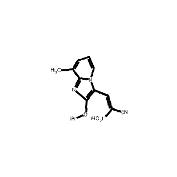 Cc1cccn2c(C=C(C#N)C(=O)O)c(OC(C)C)nc12